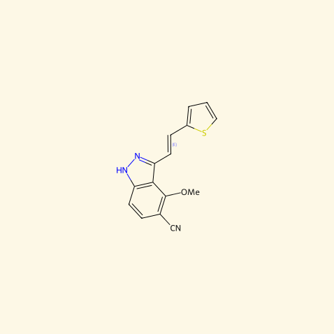 COc1c(C#N)ccc2[nH]nc(/C=C/c3cccs3)c12